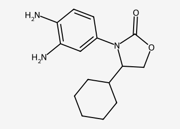 Nc1ccc(N2C(=O)OCC2C2CCCCC2)cc1N